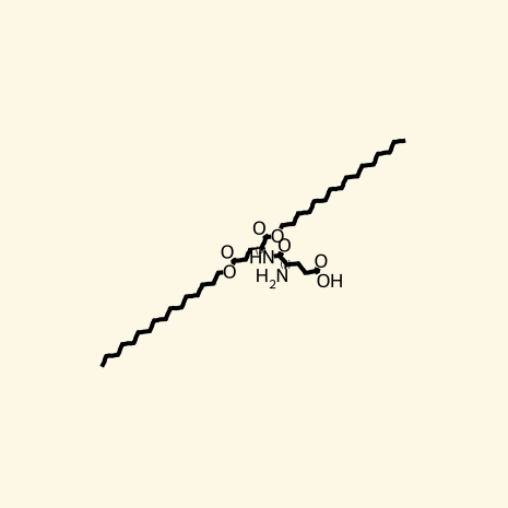 CCCCCCCCCCCCCCCCOC(=O)CC[C@H](NC(=O)[C@@H](N)CCC(=O)O)C(=O)OCCCCCCCCCCCCCCCC